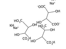 O=C(O)C(O)C(O)C(=O)O.O=C(O)C(O)C(O)C(=O)O.O=C([O-])C(O)C(O)C(=O)[O-].[KH].[KH].[Na+].[Na+]